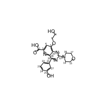 O=C(O)c1cc(OCCO)c2nc(N3CCOCC3)nc(-c3cccc(O)c3)c2n1